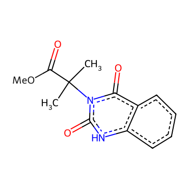 COC(=O)C(C)(C)n1c(=O)[nH]c2ccccc2c1=O